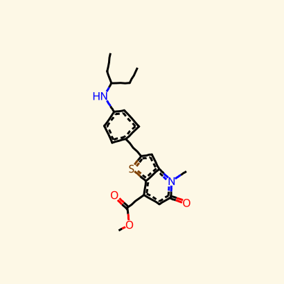 CCC(CC)Nc1ccc(-c2cc3c(s2)c(C(=O)OC)cc(=O)n3C)cc1